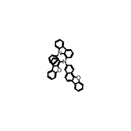 c1ccc(-n2c3ccccc3c3cccc(N(c4ccc5c(ccc6c7ccccc7oc56)c4)c4cccc5c4oc4ccccc45)c32)cc1